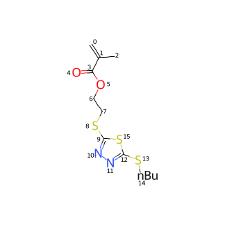 C=C(C)C(=O)OCCSc1nnc(SCCCC)s1